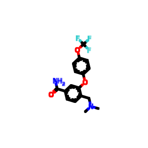 CN(C)Cc1ccc(C(N)=O)cc1Oc1ccc(OC(F)(F)F)cc1